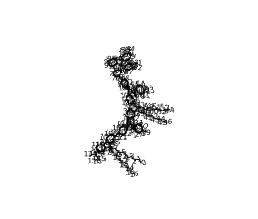 CCCCCCCCC1(CCCCCCCC)c2cc(-c3ccc(N(c4ccc(C)cc4)c4ccc5c(c4)C(CCCCCCCC)(CCCCCCCC)c4cc(N(c6ccc(C)cc6)c6ccc(-c7ccc8c(c7)C(c7ccc9c(c7)CC9)(c7ccc9c(c7)CC9)c7ccccc7-8)cc6)ccc4-5)cc3)ccc2-c2ccc(C(C)CC)cc21